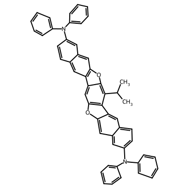 CC(C)c1c2oc3cc4cc(N(c5ccccc5)c5ccccc5)ccc4cc3c2cc2oc3cc4cc(N(c5ccccc5)c5ccccc5)ccc4cc3c12